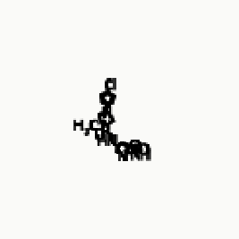 C[C@@H]1CN(c2ccc(Cl)cc2)CCN1C(=O)CNc1cnc2[nH]c(=O)oc2c1